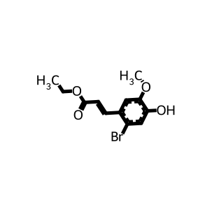 CCOC(=O)/C=C/c1cc(OC)c(O)cc1Br